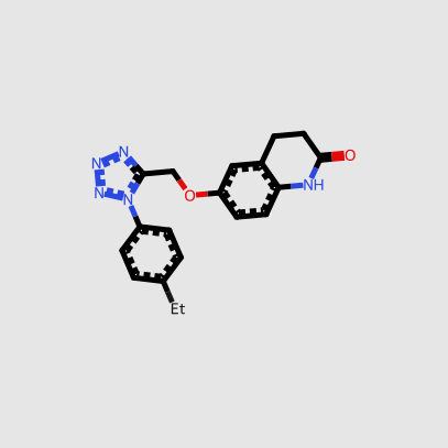 CCc1ccc(-n2nnnc2COc2ccc3c(c2)CCC(=O)N3)cc1